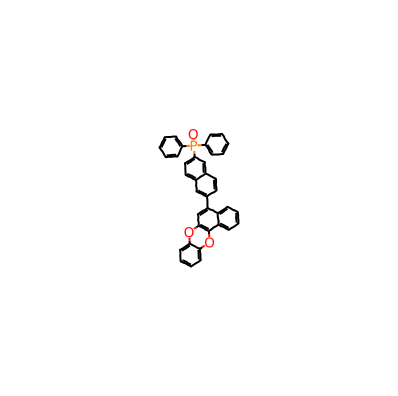 O=P(c1ccccc1)(c1ccccc1)c1ccc2cc(-c3cc4c(c5ccccc35)Oc3ccccc3O4)ccc2c1